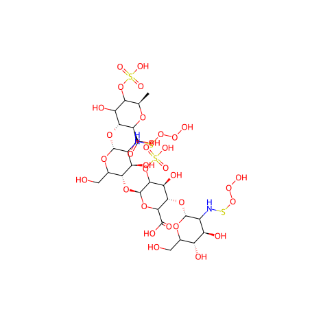 C[C@H]1O[C@@H](C(=O)O)[C@H](O[C@H]2OC(CO)[C@@H](O[C@@H]3OC(C(=O)O)[C@@H](O[C@H]4OC(CO)[C@@H](O)[C@H](O)C4NSOOO)[C@H](O)C3OS(=O)(=O)O)[C@H](O)C2NSOOO)C(O)C1OS(=O)(=O)O